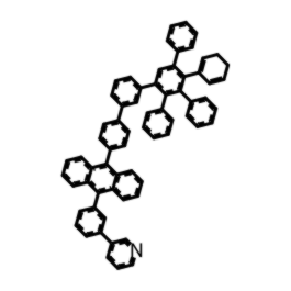 C1=CC(c2c(-c3ccccc3)cc(-c3cccc(-c4ccc(-c5c6ccccc6c(-c6cccc(-c7cccnc7)c6)c6ccccc56)cc4)c3)c(-c3ccccc3)c2-c2ccccc2)=CCC1